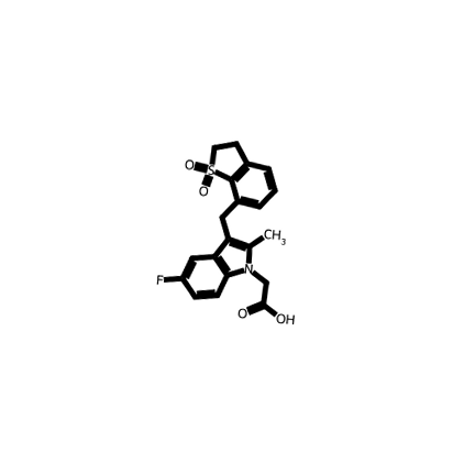 Cc1c(Cc2cccc3c2S(=O)(=O)CC3)c2cc(F)ccc2n1CC(=O)O